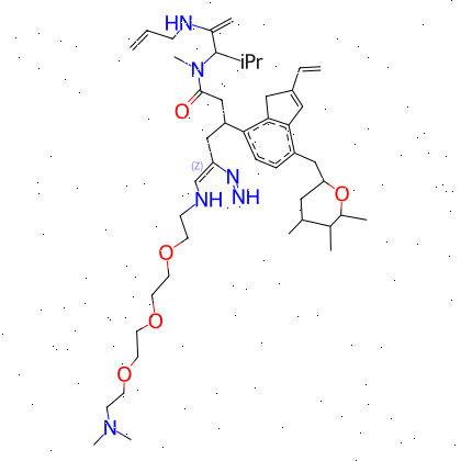 C=CCNC(=C)C(C(C)C)N(C)C(=O)CC(C/C(=C/NCCOCCOCCOCCN(C)C)N=N)c1ccc(CC2CC(C)C(C)C(C)O2)c2c1CC(C=C)=C2